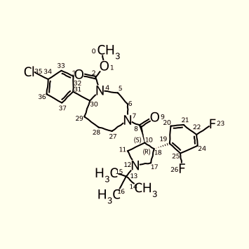 COC(=O)N1CCN(C(=O)[C@@H]2CN(C(C)(C)C)C[C@H]2c2ccc(F)cc2F)CCCC1c1ccc(Cl)cc1